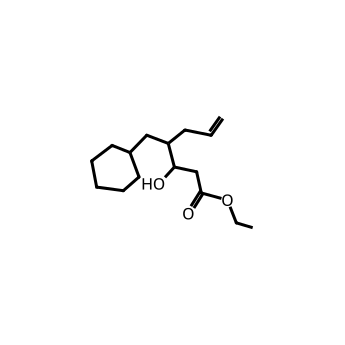 C=CCC(CC1CCCCC1)C(O)CC(=O)OCC